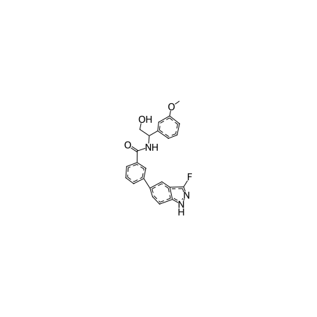 COc1cccc(C(CO)NC(=O)c2cccc(-c3ccc4[nH]nc(F)c4c3)c2)c1